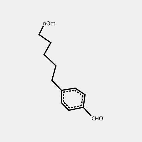 CCCCCCCCCCCCCc1ccc(C=O)cc1